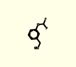 CC(C)(C)Cc1cccc(OC(F)F)c1